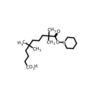 CC(C)(CCCC(=O)O)CCCC(C)(C)C(=O)ON1CCCCC1